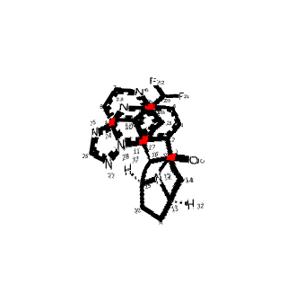 O=C(c1ccc2nccnc2c1)N1[C@H]2CC[C@H](c3cc(C(F)F)nc4ncnn34)[C@@H]1CC2